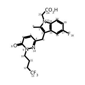 Cc1c(Cc2ccc(=O)n(CCCC(F)(F)F)n2)c2cc(F)ccc2n1CC(=O)O